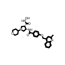 Cc1cc(COc2ccc(C(=O)N[C@@H]3CN(C4CCOCC4)C[C@@H]3C(=O)NO)cc2)c2ccccc2n1